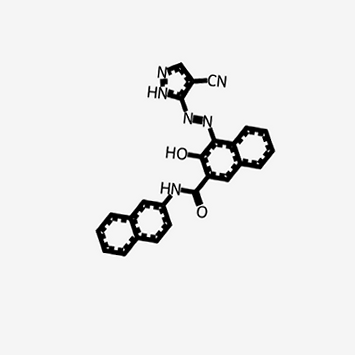 N#Cc1cn[nH]c1/N=N/c1c(O)c(C(=O)Nc2ccc3ccccc3c2)cc2ccccc12